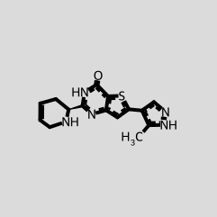 Cc1[nH]ncc1-c1cc2nc([C@@H]3CC=CCN3)[nH]c(=O)c2s1